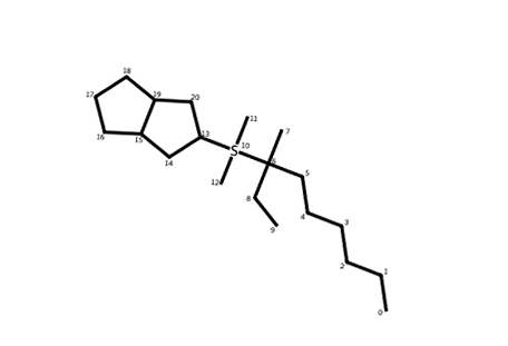 CCCCCCC(C)(CC)S(C)(C)C1CC2CCCC2C1